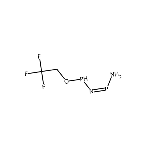 N/P=N\POCC(F)(F)F